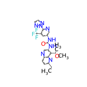 CCc1ccc2ncc(NC(=O)Nc3cnc(-n4nccn4)c(C(F)(F)F)c3)c(C(C)OC)c2n1